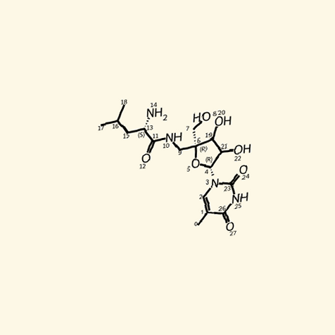 Cc1cn([C@@H]2O[C@@](CO)(CNC(=O)[C@@H](N)CC(C)C)C(O)C2O)c(=O)[nH]c1=O